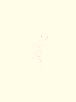 Cc1cc(NC(=O)Oc2ccccc2)ccc1N1CCOCC1